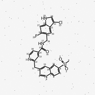 CS(=O)(=O)c1ccc2ncc(Cc3cc(C(=O)NCc4cc5c(Cl)c[nH]c5cc4F)ccn3)cc2c1